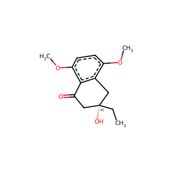 CC[C@@]1(O)CC(=O)c2c(OC)ccc(OC)c2C1